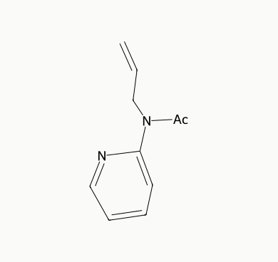 C=CCN(C(C)=O)c1ccccn1